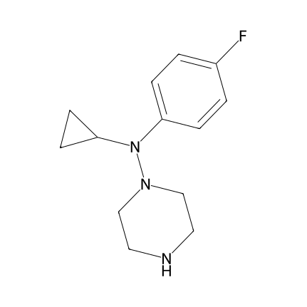 Fc1ccc(N(C2CC2)N2CCNCC2)cc1